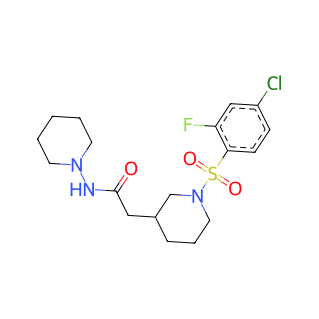 O=C(CC1CCCN(S(=O)(=O)c2ccc(Cl)cc2F)C1)NN1CCCCC1